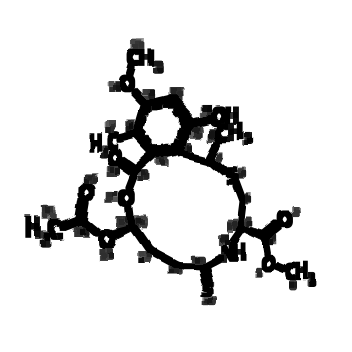 COC(=O)[C@@H]1CSC(C)c2c(O)cc(OC)c(C)c2C(=O)O[C@H](OC(C)=O)CCC(=S)N1